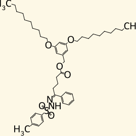 CCCCCCCCCCOc1cc(COC(=O)CCC/C(=N/NS(=O)(=O)c2ccc(C)cc2)c2ccccc2)cc(OCCCCCCCCCC)c1